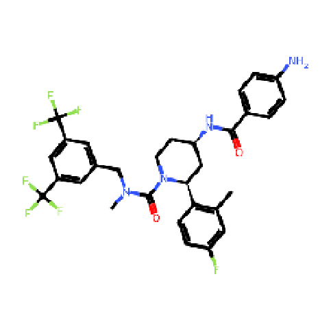 Cc1cc(F)ccc1[C@@H]1C[C@H](NC(=O)c2ccc(N)cc2)CCN1C(=O)N(C)Cc1cc(C(F)(F)F)cc(C(F)(F)F)c1